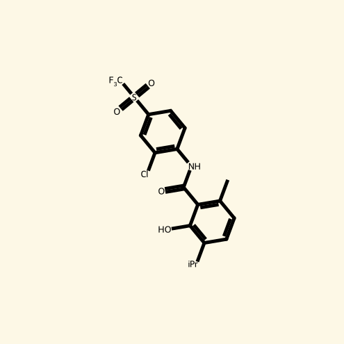 Cc1ccc(C(C)C)c(O)c1C(=O)Nc1ccc(S(=O)(=O)C(F)(F)F)cc1Cl